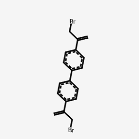 C=C(CBr)c1ccc(-c2ccc(C(=C)CBr)cc2)cc1